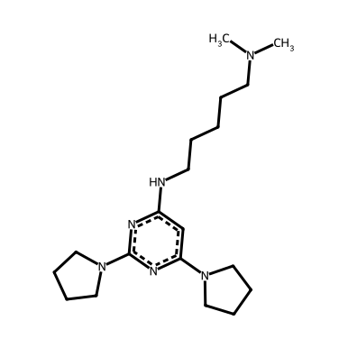 CN(C)CCCCCNc1cc(N2CCCC2)nc(N2CCCC2)n1